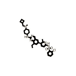 CCc1cc(-c2ccc(NS(=O)(=O)c3ccccc3Cl)nc2C)cc2cnc(NC3CCC(N(C)CC4CCC4)CC3)nc12